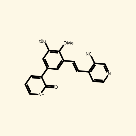 COc1c(/C=C/c2ccncc2C#N)cc(-c2ccc[nH]c2=O)cc1C(C)(C)C